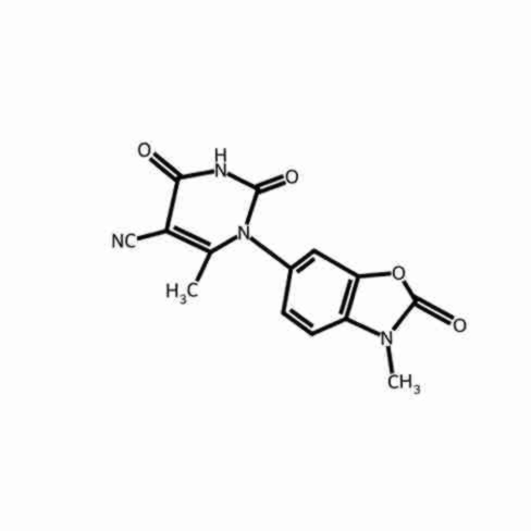 Cc1c(C#N)c(=O)[nH]c(=O)n1-c1ccc2c(c1)oc(=O)n2C